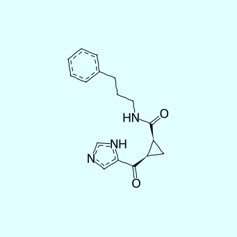 O=C(NCCCc1ccccc1)[C@H]1C[C@H]1C(=O)c1cnc[nH]1